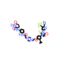 CC1(C)C(=O)N(c2cnc(C#N)c(C(F)(F)F)c2)C(=S)N1c1ccc(OCCN2CCN(CC(=O)Nc3cccc(NC4CCC(=O)NC4=O)c3)CC2)c(C2CC2)c1